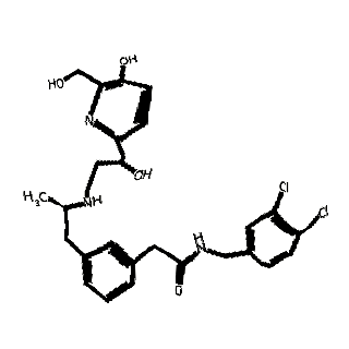 C[C@H](Cc1cccc(CC(=O)NCc2ccc(Cl)c(Cl)c2)c1)NCC(O)c1ccc(O)c(CO)n1